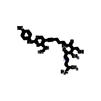 CCCNc1nc(Nc2ccc(C#N)cc2)ncc1C#CCCCNC(=O)C(CO)N(C)C(=O)/C=C/CN(C)C